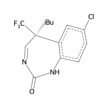 CCC(C)[C@@]1(C(F)(F)F)C=NC(=O)Nc2ccc(Cl)cc21